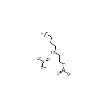 CCCCNCCO[N+](=O)[O-].O=[N+]([O-])O